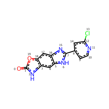 O=c1[nH]c2cc3[nH]c(-c4ccnc(Cl)c4)nc3cc2o1